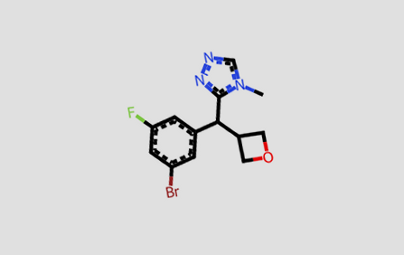 Cn1cnnc1C(c1cc(F)cc(Br)c1)C1COC1